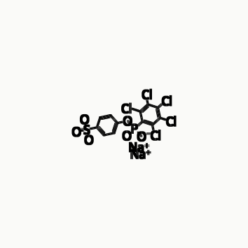 O=P([O-])(Oc1ccc(S(=O)(=O)[O-])cc1)c1c(Cl)c(Cl)c(Cl)c(Cl)c1Cl.[Na+].[Na+]